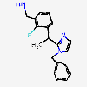 CC(c1cccc(CN)c1F)c1nccn1Cc1ccccc1